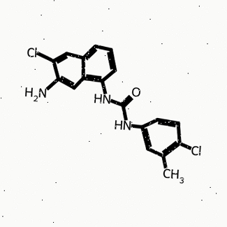 Cc1cc(NC(=O)Nc2cccc3cc(Cl)c(N)cc23)ccc1Cl